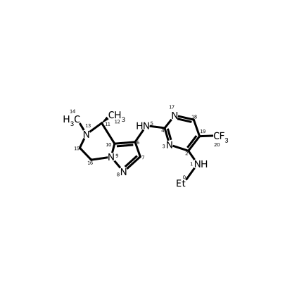 CCNc1nc(Nc2cnn3c2[C@H](C)N(C)CC3)ncc1C(F)(F)F